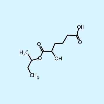 CCC(C)OC(=O)C(O)CCCC(=O)O